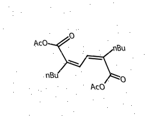 CCCCC(=CC=C(CCCC)C(=O)OC(C)=O)C(=O)OC(C)=O